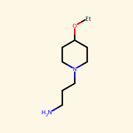 CCOC1CCN(CCCN)CC1